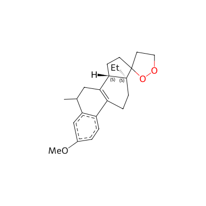 CC[C@]12CCC3=C(CC(C)c4cc(OC)ccc43)[C@@H]1CCC21CCOO1